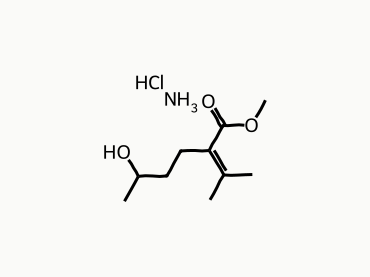 COC(=O)C(CCC(C)O)=C(C)C.Cl.N